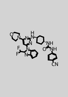 N#Cc1ccc(NC(=O)N[C@H]2CC[C@H](Nc3nc(N4CCOCC4)cc(-n4c(C(F)F)nc5ccccc54)n3)CC2)cc1